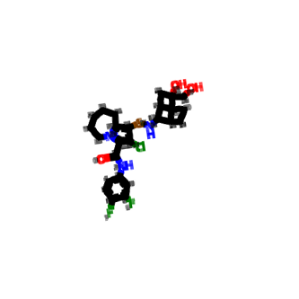 O=C(Nc1ccc(F)c(F)c1)c1c(Cl)c(SNC2C3CCC34C2CC4(O)CO)c2n1CCCCC2